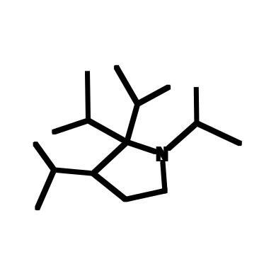 CC(C)C1CCN(C(C)C)C1(C(C)C)C(C)C